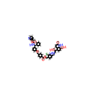 O=C(NC(c1ccccc1)c1cccc(OCc2ccc(C(=O)OCc3ccc(CNC[C@H](O)c4ccc(O)c5[nH]c(=O)ccc45)cc3F)cc2)c1)O[C@H]1CN2CCC1CC2